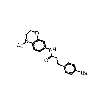 CC(=O)N1CCOc2cc(NC(=O)CCc3ccc(C(C)(C)C)cc3)ccc21